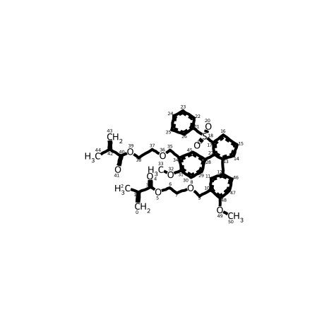 C=C(C)C(=O)OCCOCc1cc(-c2cccc(S(=O)(=O)c3ccccc3)c2-c2ccc(OC)c(COCCOC(=O)C(=C)C)c2)ccc1OC